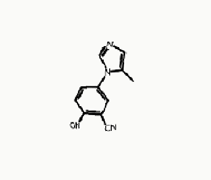 Cc1cncn1-c1ccc(N=O)c(C#N)c1